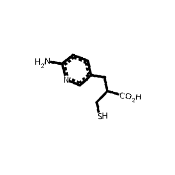 Nc1ccc(CC(CS)C(=O)O)cn1